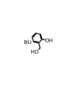 OCc1ccccc1O.[B].[Li]